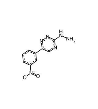 NNc1ncc(-c2cccc([N+](=O)[O-])c2)nn1